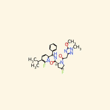 COc1nc(CC(=O)N2C[C@H](F)C[C@H]2C(=O)N[C@@H](c2ccccc2)c2ccc(C(C)C)c(F)n2)nn1C